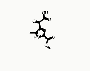 COC(=O)c1cc(C(=O)C(=O)O)c(C)[nH]1